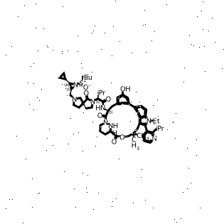 CCn1c(-c2cccnc2C(C)C)c2c3cc(ccc31)-c1cc(O)cc(c1)C[C@H](NC(=O)[C@H](C(C)C)N1CC[C@]3(CCN(C[C@H]4[C@@H](C5CC5)N4[S@+]([O-])C(C)(C)C)C3)C1=O)C(=O)N1CCC[C@H](N1)C(=O)OCC(C)(C)C2